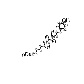 CCCCCCCCCCCCCCCCNC(=O)C(=O)NCCCc1ccc(O)cc1